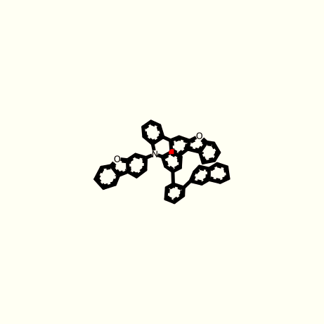 c1cc(-c2ccccc2-c2ccc3ccccc3c2)cc(N(c2ccc3c(c2)oc2ccccc23)c2ccccc2-c2ccc3c(c2)oc2ccccc23)c1